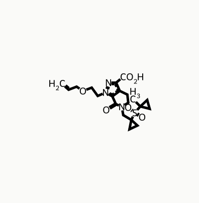 C=CCOCCn1nc(C(=O)O)c2c1C(=O)N(CC1(S(=O)(=O)C3(C)CC3)CC1)CC2